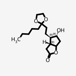 CCCCCC1(CC[C@H]2[C@H](O)CC3OC(=O)C[C@@H]32)OCCO1